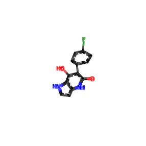 O=c1[nH]c2cc[nH]c2c(O)c1-c1ccc(F)cc1